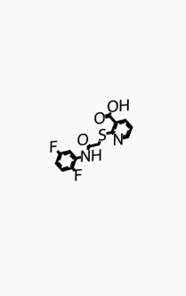 O=C(CSc1ncccc1C(=O)O)Nc1cc(F)ccc1F